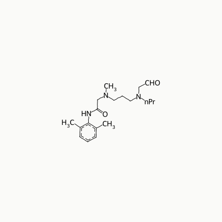 CCCN(CC=O)CCCN(C)CC(=O)Nc1c(C)cccc1C